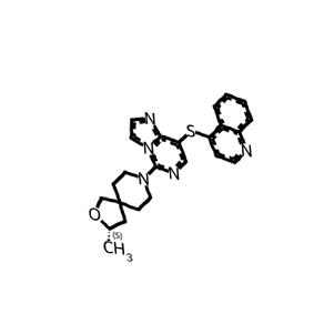 C[C@H]1CC2(CCN(c3ncc(Sc4ccnc5ccccc45)c4nccn34)CC2)CO1